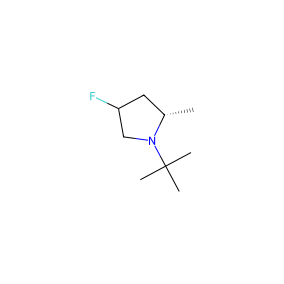 C[C@H]1CC(F)CN1C(C)(C)C